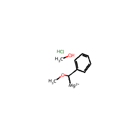 CO.CO[CH]([Mg+2])c1ccccc1.Cl